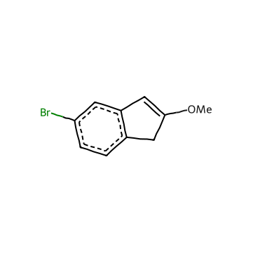 COC1=Cc2cc(Br)ccc2C1